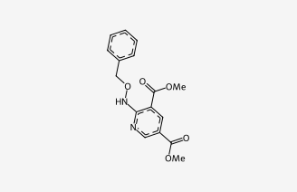 COC(=O)c1cnc(NOCc2ccccc2)c(C(=O)OC)c1